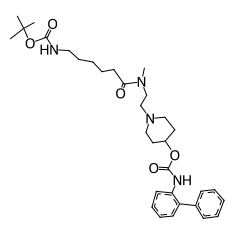 CN(CCN1CCC(OC(=O)Nc2ccccc2-c2ccccc2)CC1)C(=O)CCCCCNC(=O)OC(C)(C)C